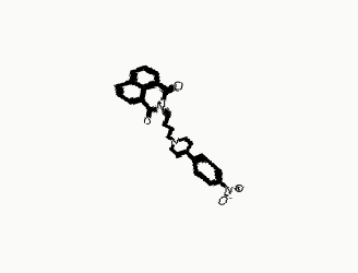 O=C1c2cccc3cccc(c23)C(=O)N1CCCCN1CC=C(c2ccc([N+](=O)[O-])cc2)CC1